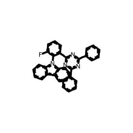 Fc1cccc(-c2nc(-c3ccccc3)nc(-c3ccccc3)n2)c1-n1c2ccccc2c2ccccc21